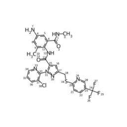 CNC(=O)c1cc(N)cc(C)c1NC(=O)c1cc(CSc2ccc(C(F)(F)F)cn2)nn1-c1ncccc1Cl